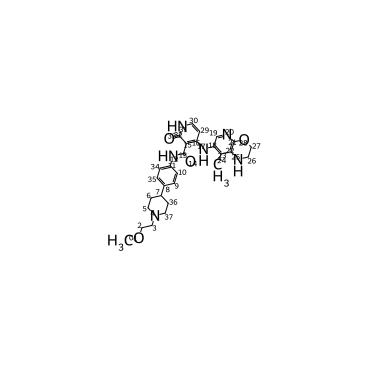 COCCN1CCC(c2ccc(NC(=O)c3c(Nc4cnc5c(c4C)NCCO5)cc[nH]c3=O)cc2)CC1